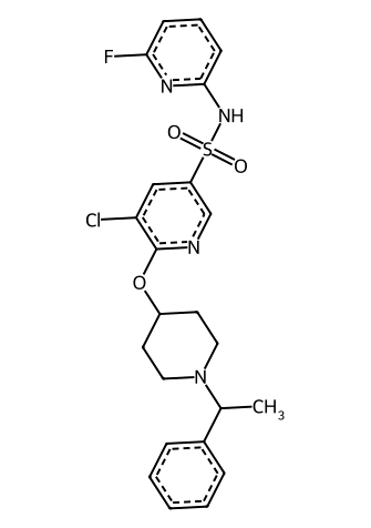 CC(c1ccccc1)N1CCC(Oc2ncc(S(=O)(=O)Nc3cccc(F)n3)cc2Cl)CC1